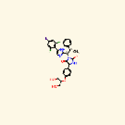 C[C@@H](c1ccccc1)[C@@H](c1ncc(-c2c(F)cc(I)cc2F)[nH]1)N1C(=O)NC(c2ccc(OC(CO)CO)cc2)C1=O